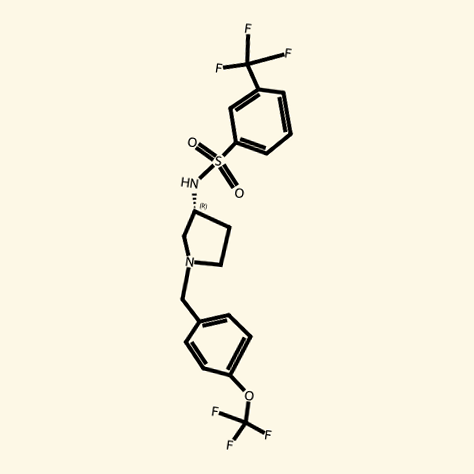 O=S(=O)(N[C@@H]1CCN(Cc2ccc(OC(F)(F)F)cc2)C1)c1cccc(C(F)(F)F)c1